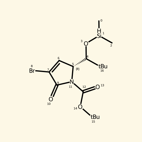 C[SiH](C)OC([C@H]1C=C(Br)C(=O)N1C(=O)OC(C)(C)C)C(C)(C)C